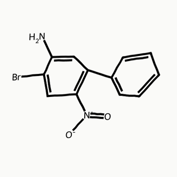 Nc1cc(-c2ccccc2)c([N+](=O)[O-])cc1Br